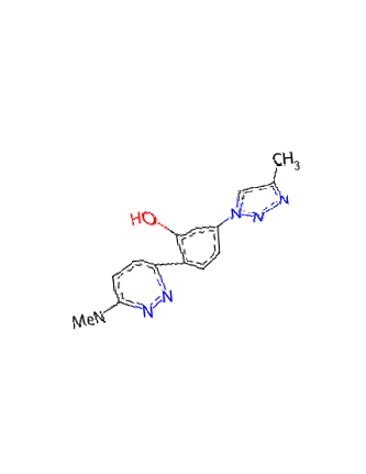 CNc1ccc(-c2ccc(-n3cc(C)nn3)cc2O)nn1